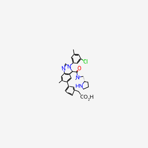 Cc1cc(Cl)cc(N2C=Nc3cc(C)c(-c4cccc(CC(=O)O)c4)cc3C2C(=O)N(C)C[C@@H]2CCCN2)c1